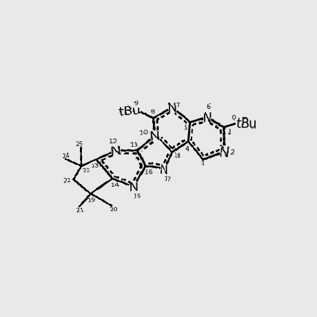 CC(C)(C)c1ncc2c(n1)nc(C(C)(C)C)n1c3nc4c(nc3nc21)C(C)(C)CC4(C)C